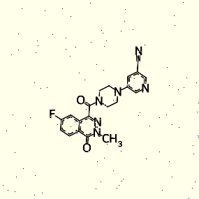 Cn1nc(C(=O)N2CCN(c3cncc(C#N)c3)CC2)c2cc(F)ccc2c1=O